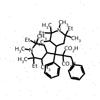 CCC1(C)CC(C(c2ccccc2)(C2CC(C)(CC)N(C)C(C)(CC)C2C)C(Cc2ccccc2)(C(=O)O)C(=O)O)C(C)C(C)(CC)N1C